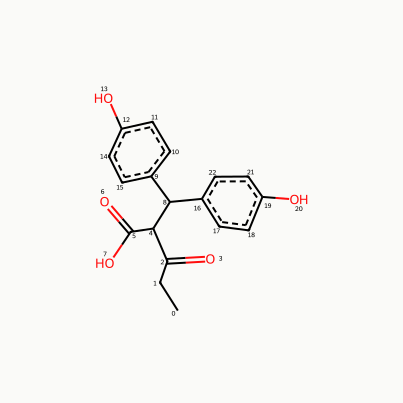 CCC(=O)C(C(=O)O)C(c1ccc(O)cc1)c1ccc(O)cc1